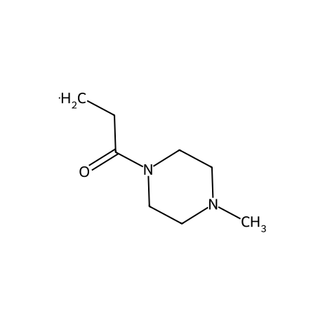 [CH2]CC(=O)N1CCN(C)CC1